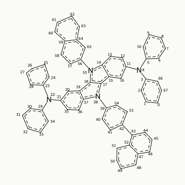 c1ccc(N(c2ccccc2)c2ccc3c(c2)c2c(c4cc(N(c5ccccc5)c5ccccc5)ccc4n2-c2ccc(-c4cccc5ccccc45)cc2)n3-c2ccc3ccccc3c2)cc1